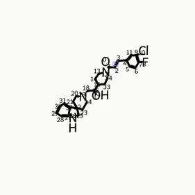 O=C(/C=C/c1ccc(F)c(Cl)c1)N1CCC(C(O)CN2CCC3(CC2)CNc2ccccc23)CC1